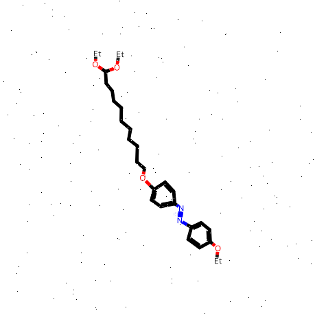 CCOc1ccc(/N=N/c2ccc(OCCCCCCCCCCC(OCC)OCC)cc2)cc1